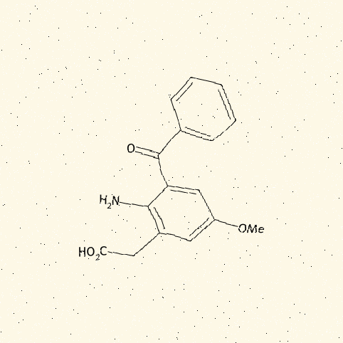 COc1cc(CC(=O)O)c(N)c(C(=O)c2ccccc2)c1